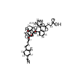 C[C@@H](S[C@H]1CO[C@H](C=CC=Cc2ccc(C#N)cc2F)OC1)[C@@](Cn1cncn1)(OC(=O)c1ccccc1COC(=O)CCC(=O)O)c1ccc(F)cc1F